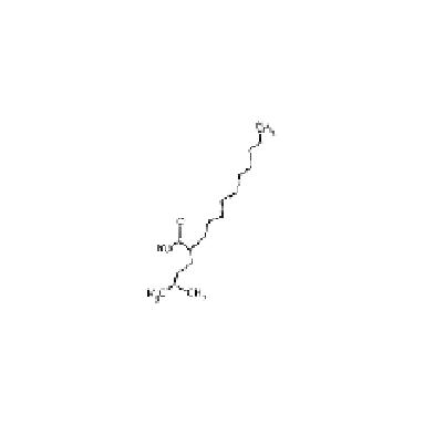 CCCCCCCCCCC(CCC(C)C)C(=O)O